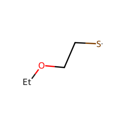 CCOCC[S]